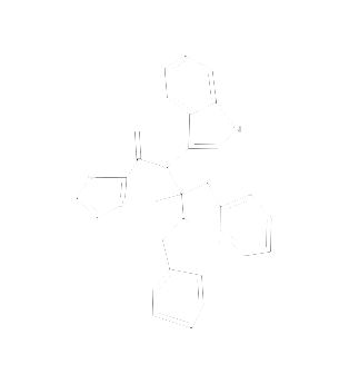 C[C](Cc1ccccc1)C(C)(Cc1ccccc1)C(C(=O)c1ncc[nH]1)c1c[nH]c2ccccc12